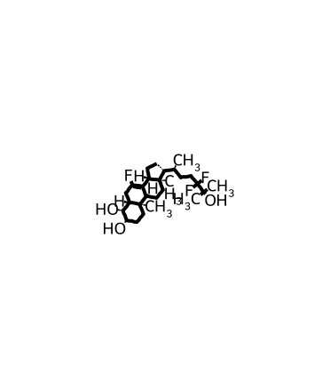 C[C@H](CCC(F)(F)C(C)(C)O)[C@H]1CC[C@H]2C3=C(F)C[C@H]4[C@@H](O)[C@@H](O)CC[C@]4(C)[C@H]3CC[C@]12C